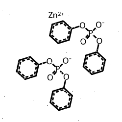 O=P([O-])(Oc1ccccc1)Oc1ccccc1.O=P([O-])(Oc1ccccc1)Oc1ccccc1.[Zn+2]